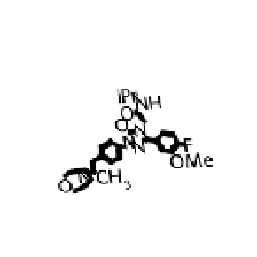 COc1cc(-c2nn(-c3ccc(CC(C)N4C5CCC4COC5)cc3)c(=O)n2CC(=O)NC(C)C)ccc1F